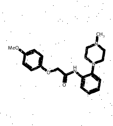 COc1ccc(OCC(=O)Nc2ccccc2N2CCN(C)CC2)cc1